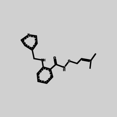 CC(C)=CCONC(=O)c1ccccc1NCc1ccncc1